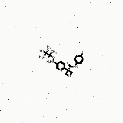 CC(C)(O)C(C)(C)OBc1ccc(C2(C(=O)Nc3ccc(F)cc3)COC2)nc1